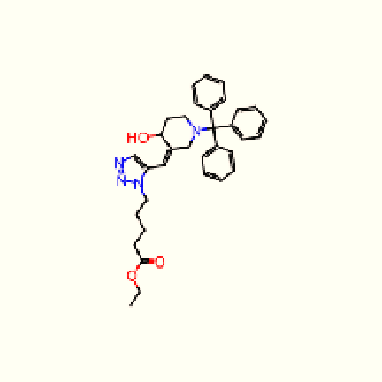 CCOC(=O)CCCCn1nncc1/C=C1/CN(C(c2ccccc2)(c2ccccc2)c2ccccc2)CCC1O